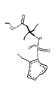 COC(=O)C(C)(C)NS(=O)(=O)c1ccccc1C